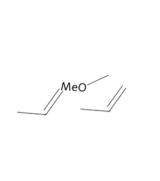 C=CC.C=CC.COC